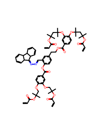 C=CC(=O)OC(C)(C)COc1ccc(C(=O)Oc2ccc(CCOC(=O)c3ccc(OC(C)(C)CC(C)(C)OC(=O)C=C)c(OC(C)(C)CC(C)(C)OC(=O)C=C)c3)cc2/C=N/N=C2C3C=CC=CC3C3C=CC=CC23)cc1OCC(C)(C)OC(=O)C=C